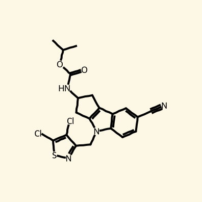 CC(C)OC(=O)NC1Cc2c(n(Cc3nsc(Cl)c3Cl)c3ccc(C#N)cc23)C1